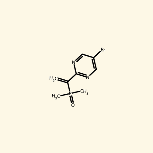 C=C(c1ncc(Br)cn1)P(C)(C)=O